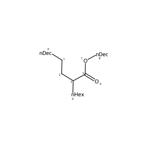 CCCCCCCCCCCCC(CCCCCC)C(=O)OCCCCCCCCCC